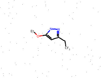 CCOC1=CC(CC(F)(F)F)=N[N]1